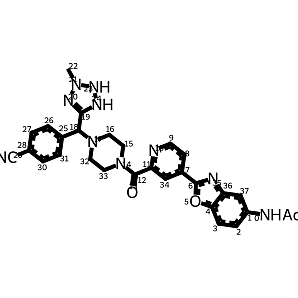 CC(=O)Nc1ccc2oc(-c3ccnc(C(=O)N4CCN(C(C5=NN(C)NN5)c5ccc(C#N)cc5)CC4)c3)nc2c1